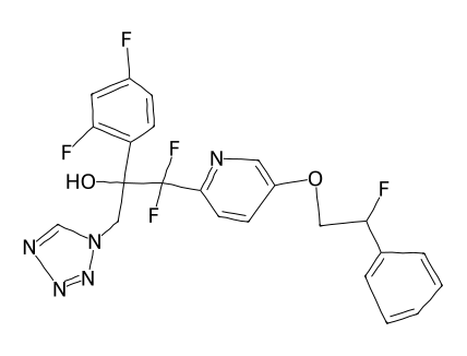 OC(Cn1cnnn1)(c1ccc(F)cc1F)C(F)(F)c1ccc(OCC(F)c2ccccc2)cn1